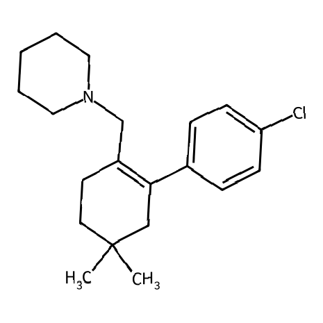 CC1(C)CCC(CN2CCCCC2)=C(c2ccc(Cl)cc2)C1